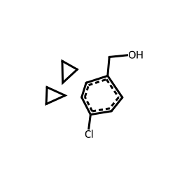 C1CC1.C1CC1.OCc1ccc(Cl)cc1